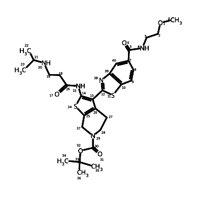 COCCNC(=O)c1ccc2sc(-c3c(NC(=O)CCNC(C)C)sc4c3CCN(C(=O)OC(C)(C)C)C4)nc2c1